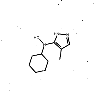 ON(c1[nH]ncc1F)C1CCCCC1